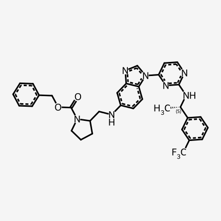 C[C@H](Nc1nccc(-n2cnc3cc(NCC4CCCN4C(=O)OCc4ccccc4)ccc32)n1)c1cccc(C(F)(F)F)c1